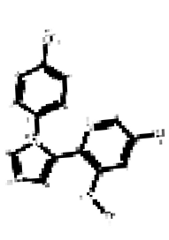 CCSc1cc(C(F)(F)F)cnc1-c1cncn1-c1ccc(C(F)(F)F)cc1